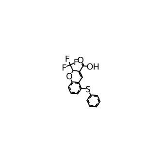 O=C(O)C1=Cc2c(cccc2Sc2ccccc2)OC1C(F)(F)F